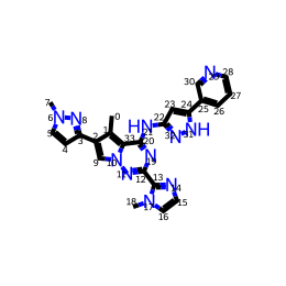 Cc1c(-c2ccn(C)n2)cn2nc(-c3nccn3C)nc(Nc3cc(-c4cccnc4)[nH]n3)c12